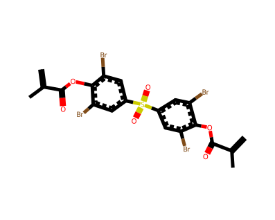 C=C(C)C(=O)Oc1c(Br)cc(S(=O)(=O)c2cc(Br)c(OC(=O)C(=C)C)c(Br)c2)cc1Br